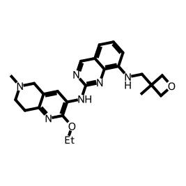 CCOc1nc2c(cc1Nc1ncc3cccc(NCC4(C)COC4)c3n1)CN(C)CC2